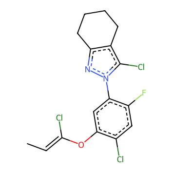 CC=C(Cl)Oc1cc(-n2nc3c(c2Cl)CCCC3)c(F)cc1Cl